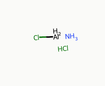 Cl.N.[AlH2][Cl]